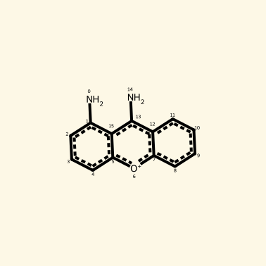 Nc1cccc2[o+]c3ccccc3c(N)c12